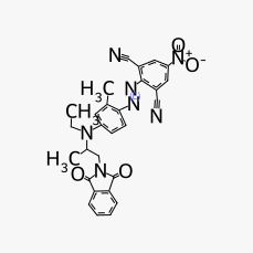 CCN(c1ccc(/N=N/c2c(C#N)cc([N+](=O)[O-])cc2C#N)c(C)c1)C(C)CN1C(=O)c2ccccc2C1=O